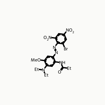 CCC(=O)Nc1cc(N(CC)CC)c(OC)cc1/N=N/c1c(Br)cc([N+](=O)[O-])cc1[N+](=O)[O-]